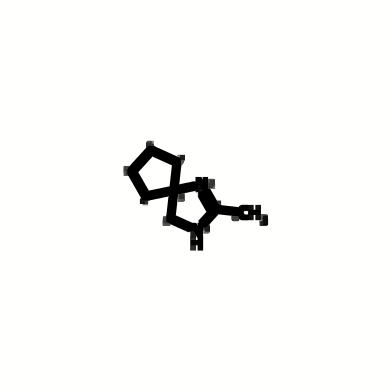 CC1=NC2(CCCC2)CN1